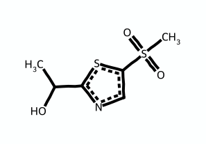 CC(O)c1ncc(S(C)(=O)=O)s1